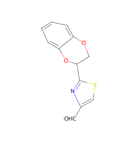 O=[C]c1csc(C2COc3ccccc3O2)n1